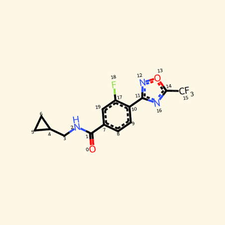 O=C(NCC1CC1)c1ccc(-c2noc(C(F)(F)F)n2)c(F)c1